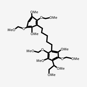 COCOc1cc(OC)c(OCOC)c(CCCCCc2c(OCOC)c(OC)c(C(COC)OC)c(OCOC)c2OC)c1OC